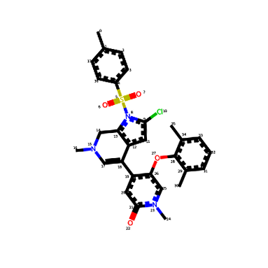 Cc1ccc(S(=O)(=O)n2c(Cl)cc3c2CN(C)C=C3c2cc(=O)n(C)cc2Oc2c(C)cccc2C)cc1